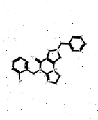 O=C1C2=C(CN(Cc3ccccc3)C2)N2CCN=C2N1Cc1ccccc1Br